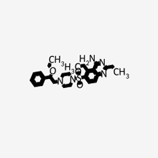 CCOC(CN1CCN(S(=O)(=O)c2ccc3nc(CC)nc(N)c3c2CC)CC1)c1ccccc1